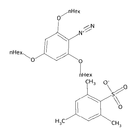 CCCCCCOc1cc(OCCCCCC)c([N+]#N)c(OCCCCCC)c1.Cc1cc(C)c(S(=O)(=O)[O-])c(C)c1